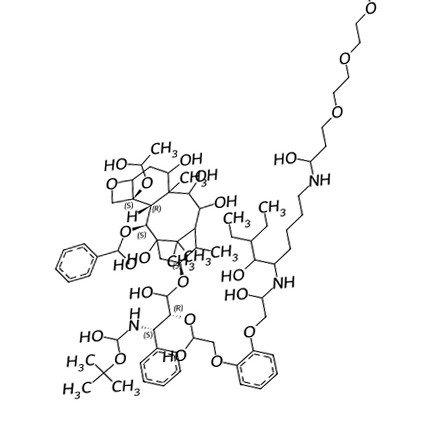 CCC(CC)C(O)C(CCCCNC(O)CCOCCOCCOC)NC(O)COc1ccccc1OCC(O)O[C@@H](C(O)O[C@H]1CC2(O)[C@@H](OC(O)c3ccccc3)[C@H]3C(C)(C(O)CC4OC[C@]43OC(C)O)C(O)C(O)C(C1C)C2(C)C)[C@@H](NC(O)OC(C)(C)C)c1ccccc1